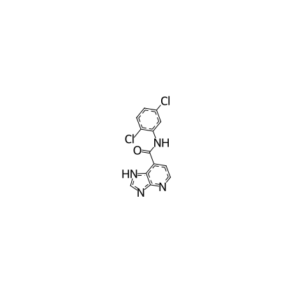 O=C(Nc1cc(Cl)ccc1Cl)c1ccnc2nc[nH]c12